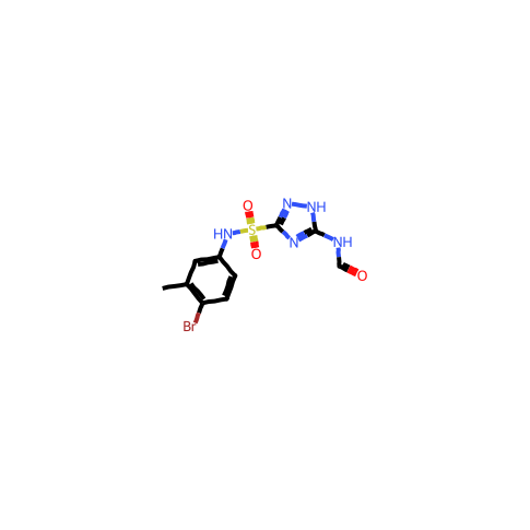 Cc1cc(NS(=O)(=O)c2n[nH]c(NC=O)n2)ccc1Br